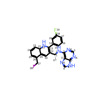 C[C@@H](Nc1ncnc2[nH]cnc12)C1=C(c2cccc(F)c2)NC2C=CC=C(CI)C2=C1